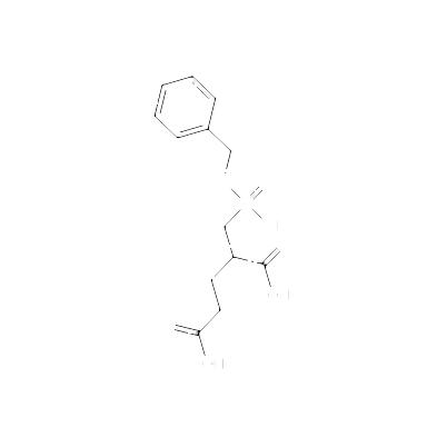 O=C(O)CCC(CP(=O)(O)OCc1ccccc1)C(=O)O